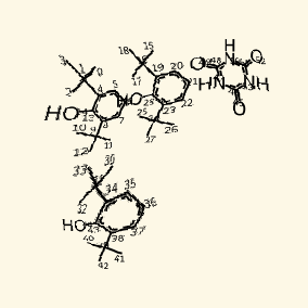 CC(C)(C)c1cccc(C(C)(C)C)c1O.CC(C)(C)c1cccc(C(C)(C)C)c1O.CC(C)(C)c1cccc(C(C)(C)C)c1O.O=c1[nH]c(=O)[nH]c(=O)[nH]1